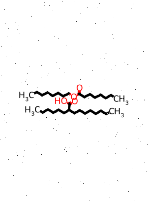 CCCCCCCCC(CCCCCC)C(=O)O.CCCCCCCCOC(=O)CCCCCCC